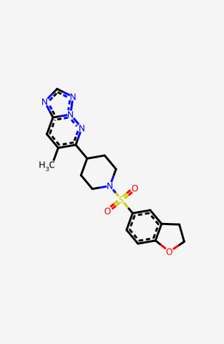 Cc1cc2ncnn2nc1C1CCN(S(=O)(=O)c2ccc3c(c2)CCO3)CC1